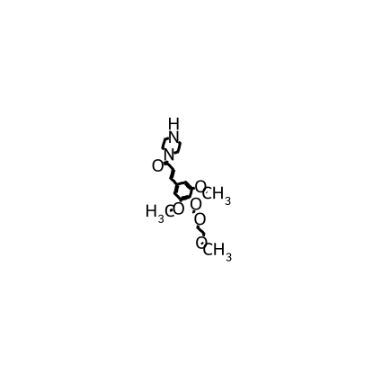 COCCOCOc1c(OC)cc(C=CC(=O)N2CCNCC2)cc1OC